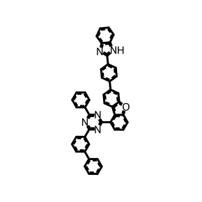 c1ccc(-c2cccc(-c3nc(-c4ccccc4)nc(-c4cccc5oc6cc(-c7ccc(-c8nc9ccccc9[nH]8)cc7)ccc6c45)n3)c2)cc1